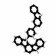 c1ccc2c(c1)sc1ccc(-c3ccc(-n4c5ccccc5c5ccc6sc7ccccc7c6c54)nc3)cc12